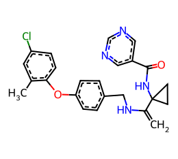 C=C(NCc1ccc(Oc2ccc(Cl)cc2C)cc1)C1(NC(=O)c2cncnc2)CC1